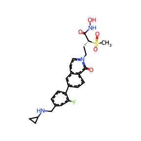 CS(=O)(=O)[C@H](CCn1ccc2cc(-c3ccc(CNC4CC4)cc3F)ccc2c1=O)C(=O)NO